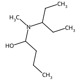 CCCC(O)N(C)C(CC)CC